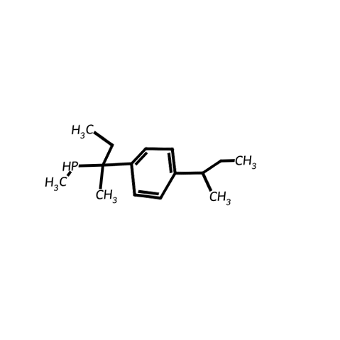 CCC(C)c1ccc(C(C)(CC)PC)cc1